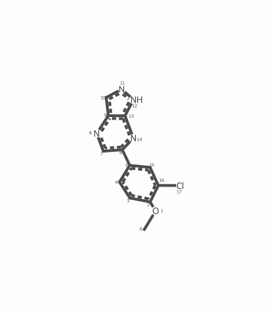 COc1ccc(-c2cnc3cn[nH]c3n2)cc1Cl